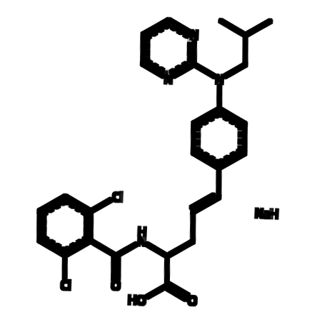 CC(C)CN(c1ccc(/C=C/CC(NC(=O)c2c(Cl)cccc2Cl)C(=O)O)cc1)c1ncccn1.[NaH]